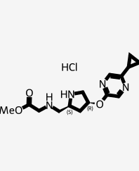 COC(=O)CNC[C@@H]1C[C@@H](Oc2cnc(C3CC3)cn2)CN1.Cl